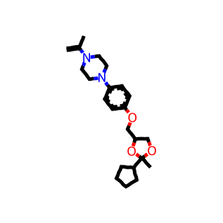 C=C(C)N1CCN(c2ccc(OCC3COC(C)(C4CCCC4)O3)cc2)CC1